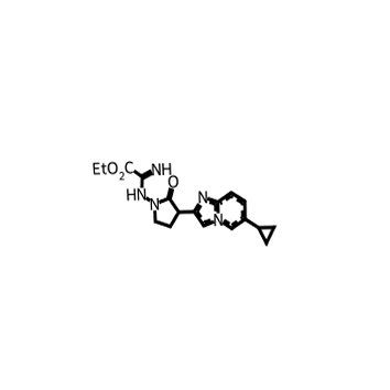 CCOC(=O)C(=N)NN1CCC(c2cn3cc(C4CC4)ccc3n2)C1=O